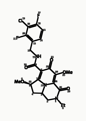 CCN1CC2C[C@@H](OC)c3c(C(=O)NCc4ccc(F)c(Cl)c4F)c(=O)c(OC)c(n32)C1=O